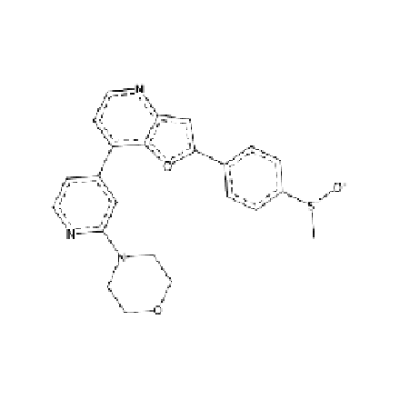 C[S+]([O-])c1ccc(-c2cc3nccc(-c4ccnc(N5CCOCC5)c4)c3o2)cc1